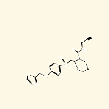 N#CCNC(=O)C1CCCCC1CS(=O)(=O)c1ccc(SCc2ccco2)cc1